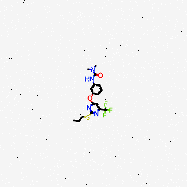 CCCSc1nc(Oc2cccc(NC(=O)N(C)C)c2)cc(C(F)(F)F)n1